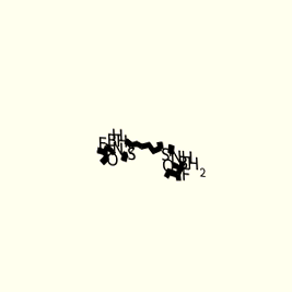 BC(F)(C(=C)C=C)C(=O)NC(=C)SC(=C)CCCCC(=C)SC(=C)NC(=O)C(B)(F)/C(C)=C/C